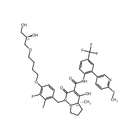 CSc1ccc(-c2cc(C(F)(F)F)ccc2NC(=O)C2=C(O)[C@@]3(C)CCCN3N(Cc3ccc(OCCCCOC[C@H](O)CO)c(F)c3F)C2=O)cn1